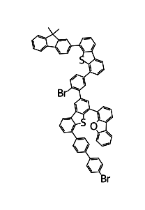 CC1(C)c2ccccc2-c2ccc(-c3cccc4c3sc3c(-c5ccc(Br)c(-c6cc(-c7cccc8c7oc7ccccc78)c7sc8c(-c9ccc(-c%10ccc(Br)cc%10)cc9)cccc8c7c6)c5)cccc34)cc21